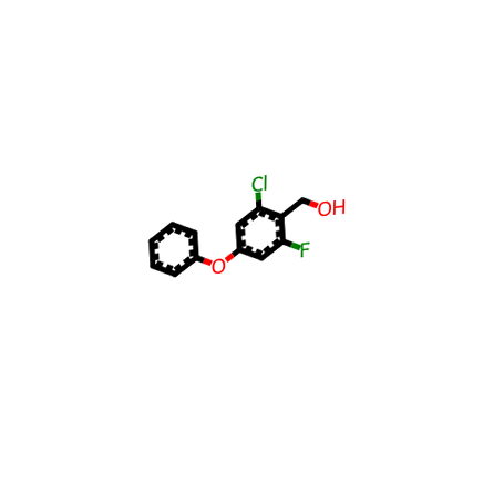 OCc1c(F)cc(Oc2ccccc2)cc1Cl